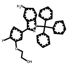 Nc1ccc2c(c1)c(-c1ccc(F)c(OCCO)c1)nn2C(c1ccccc1)(c1ccccc1)c1ccccc1